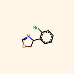 Brc1ccccc1C1CO[C]=N1